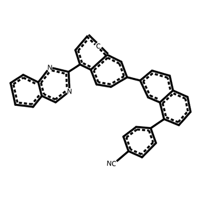 N#Cc1ccc(-c2cccc3ccc(-c4ccc5c(-c6ncc7ccccc7n6)cccc5c4)cc23)cc1